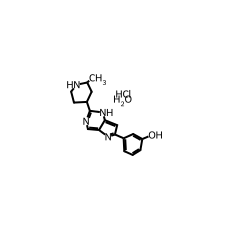 CC1CC(c2ncc3nc(-c4cccc(O)c4)cc-3[nH]2)CCN1.Cl.O